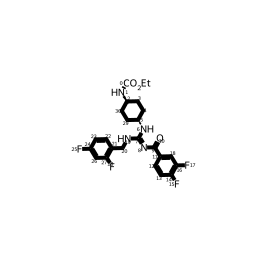 CCOC(=O)N[C@H]1CC[C@H](N/C(=N\C(=O)c2ccc(F)c(F)c2)NCc2ccc(F)cc2F)CC1